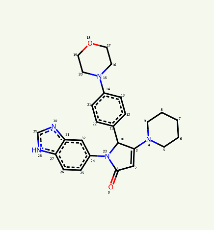 O=C1C=C(N2CCCCC2)C(c2ccc(N3CCOCC3)cc2)N1c1ccc2[nH]cnc2c1